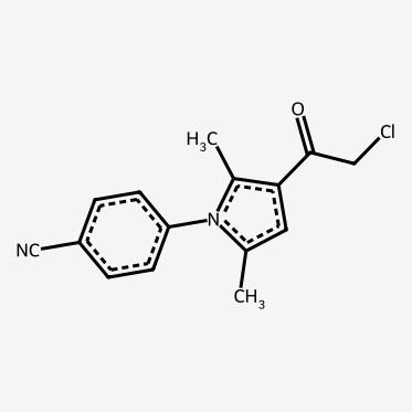 Cc1cc(C(=O)CCl)c(C)n1-c1ccc(C#N)cc1